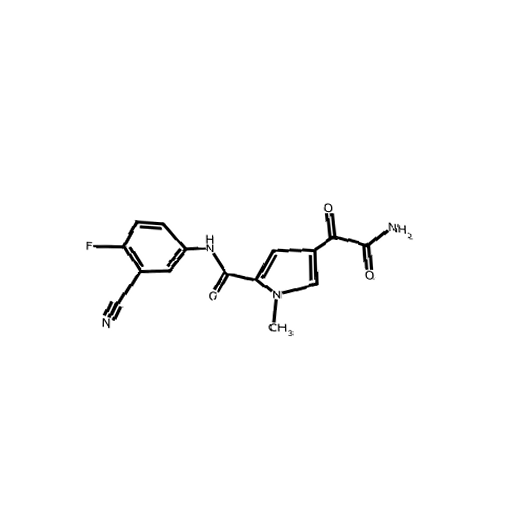 Cn1cc(C(=O)C(N)=O)cc1C(=O)Nc1ccc(F)c(C#N)c1